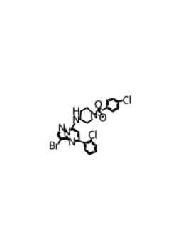 O=S(=O)(c1ccc(Cl)cc1)N1CCC(Nc2cc(-c3ccccc3Cl)nc3c(Br)cnn23)CC1